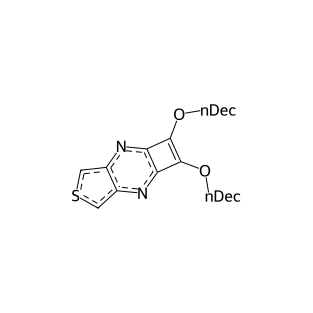 CCCCCCCCCCOC1=C(OCCCCCCCCCC)c2nc3cscc3nc21